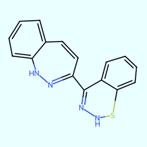 C1=Cc2ccccc2NN=C1C1=NNSc2ccccc21